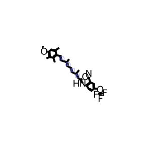 COc1cc(C)c(/C=C/C(C)=C/C=C/C(C)=C/C(=O)Nc2ccc(OC(F)(F)F)cc2C#N)c(C)c1C